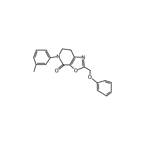 Cc1cccc(N2CCc3nc(COc4ccccc4)oc3C2=O)c1